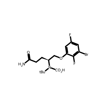 CC(C)(C)N(C(=O)O)[C@@H](CCC(N)=O)COc1cc(F)cc(Br)c1F